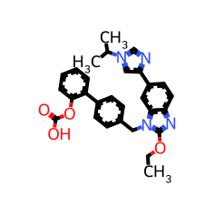 CCOc1nc2ccc(-c3cn(C(C)C)cn3)cc2n1Cc1ccc(-c2ccccc2OC(=O)O)cc1